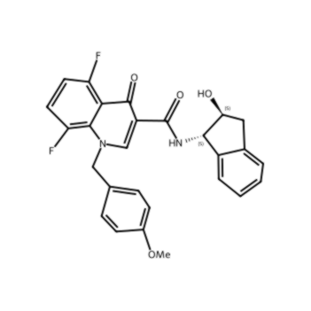 COc1ccc(Cn2cc(C(=O)N[C@H]3c4ccccc4C[C@@H]3O)c(=O)c3c(F)ccc(F)c32)cc1